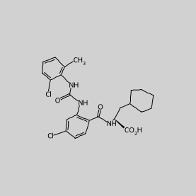 Cc1cccc(Cl)c1NC(=O)Nc1cc(Cl)ccc1C(=O)N[C@@H](CC1CCCCC1)C(=O)O